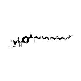 CC(C)(C)OC(=O)NNc1ccc(C(=O)NCCOCCOCCOCCN=[N+]=[N-])cn1